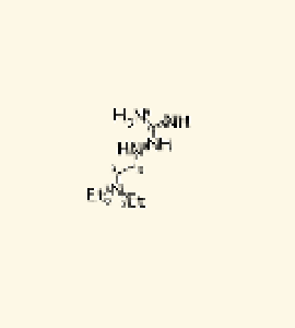 CCN(CC)CCNNC(=N)N